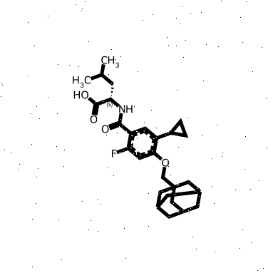 CC(C)C[C@H](NC(=O)c1cc(C2CC2)c(OCC23CC4CC(CC(C4)C2)C3)cc1F)C(=O)O